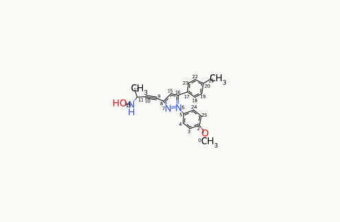 COc1ccc(-n2nc(C#CC(C)NO)cc2-c2ccc(C)cc2)cc1